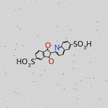 O=C1c2ccc(S(=O)(=O)O)cc2C(=O)C1c1ccc2cc(S(=O)(=O)O)ccc2n1